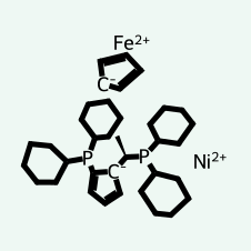 C[C@H]([c-]1cccc1P(C1CCCCC1)C1CCCCC1)P(C1CCCCC1)C1CCCCC1.[Fe+2].[Ni+2].c1cc[cH-]c1